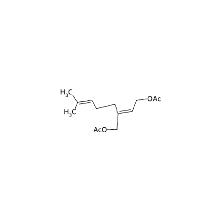 CC(=O)OC/C=C(\CCC=C(C)C)COC(C)=O